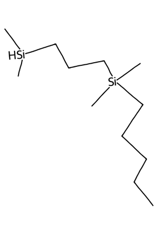 CCCCC[Si](C)(C)CCC[SiH](C)C